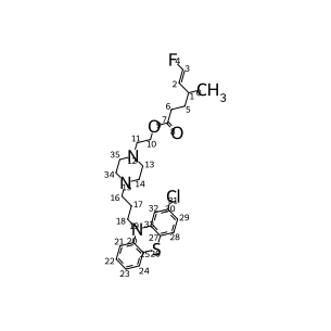 CC(C=CF)CCC(=O)OCCN1CCN(CCCN2c3ccccc3Sc3ccc(Cl)cc32)CC1